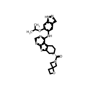 CC(C)Oc1cc2[nH]ncc2cc1Nc1ncnc2sc3c(c12)CC[C@H](C(=O)N1CC2(CCO2)C1)C3